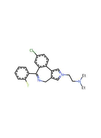 CCN(CC)CCn1cc2c(c1)-c1ccc(Cl)cc1C(c1ccccc1F)=NC2